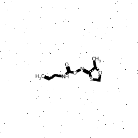 C=CCNC(=O)ON=C1SCOC1C